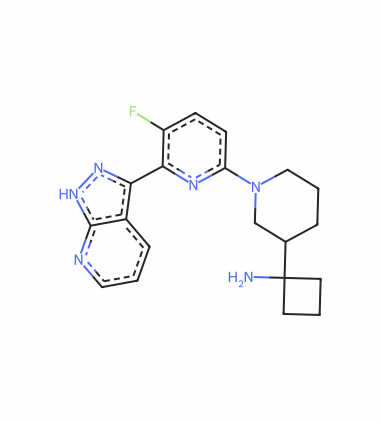 NC1(C2CCCN(c3ccc(F)c(-c4n[nH]c5ncccc45)n3)C2)CCC1